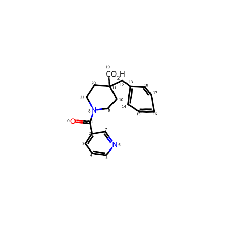 O=C(c1cccnc1)N1CCC(Cc2ccccc2)(C(=O)O)CC1